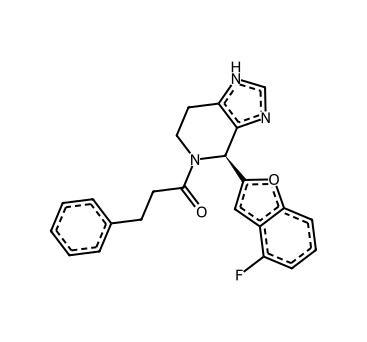 O=C(CCc1ccccc1)N1CCc2[nH]cnc2[C@H]1c1cc2c(F)cccc2o1